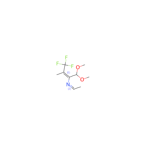 C/C=N\C(=C(/C)C(F)(F)F)C(OC)OC